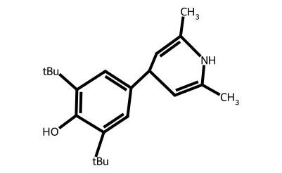 CC1=CC(c2cc(C(C)(C)C)c(O)c(C(C)(C)C)c2)C=C(C)N1